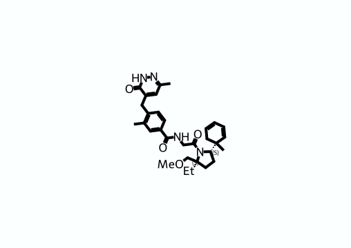 CC[C@@]1(COC)CC[C@@H](C2(C)C=CC=CC2)N1C(=O)CNC(=O)c1ccc(Cc2cc(C)n[nH]c2=O)c(C)c1